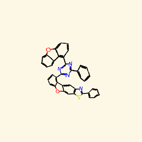 c1ccc(-c2nc(-c3cccc4oc5ccccc5c34)nc(-c3cccc4oc5cc6sc(-c7ccccc7)nc6cc5c34)n2)cc1